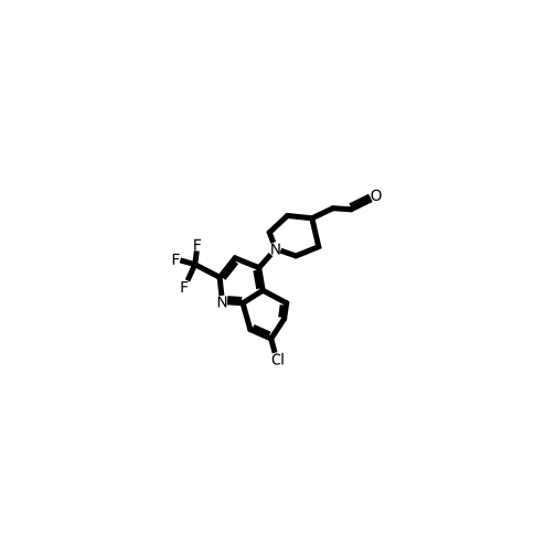 O=CCC1CCN(c2cc(C(F)(F)F)nc3cc(Cl)ccc23)CC1